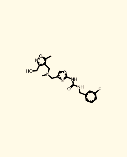 Cc1onc(CO)c1CN(C)Cc1csc(NC(=O)NCc2cccc(F)c2)n1